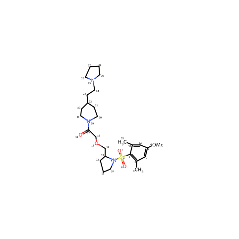 COc1cc(C)c(S(=O)(=O)N2CCCC2COCC(=O)N2CCC(CCN3CCCC3)CC2)c(C)c1